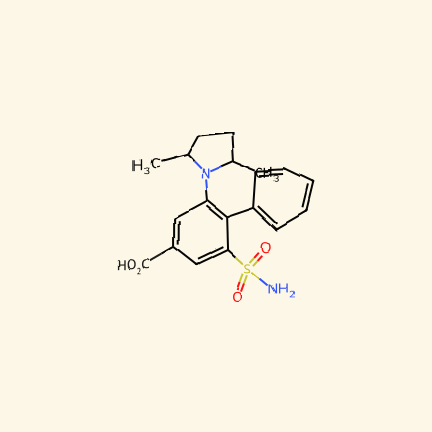 CC1CCC(C)N1c1cc(C(=O)O)cc(S(N)(=O)=O)c1-c1ccccc1